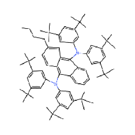 CCCCc1ccc2c(N(c3cc(C(C)(C)C)cc(C(C)(C)C)c3)c3cc(C(C)(C)C)cc(C(C)(C)C)c3)c3ccccc3c(N(c3cc(C(C)(C)C)cc(C(C)(C)C)c3)c3cc(C(C)(C)C)cc(C(C)(C)C)c3)c2c1